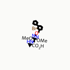 COc1nc(OCc2cccc(-c3ccccc3)c2Br)nc(OC)c1CNC1(C(=O)O)CC1